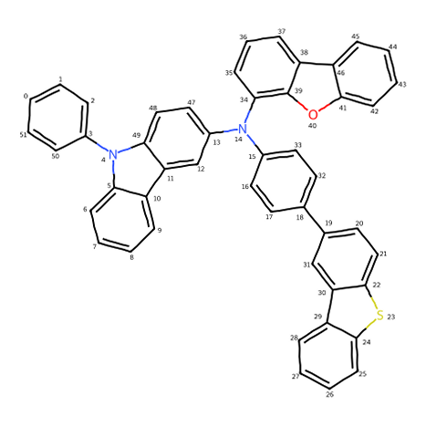 c1ccc(-n2c3ccccc3c3cc(N(c4ccc(-c5ccc6sc7ccccc7c6c5)cc4)c4cccc5c4oc4ccccc45)ccc32)cc1